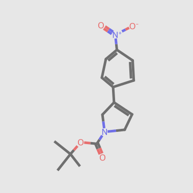 CC(C)(C)OC(=O)N1CC=C(c2ccc([N+](=O)[O-])cc2)C1